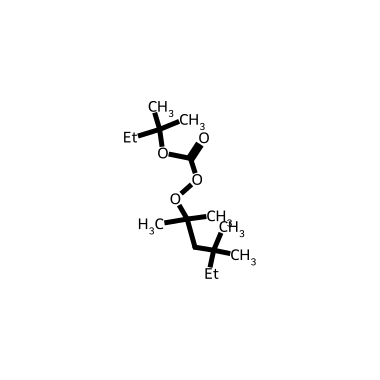 CCC(C)(C)CC(C)(C)OOC(=O)OC(C)(C)CC